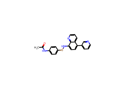 CC(=O)Nc1ccc(SNc2ccc(-c3cccnc3)c3cccnc23)cc1